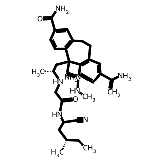 C=C(N)c1ccc2c(c1)CCc1cc(C(N)=O)ccc1C2(C[C@@H](C)NCC(=O)NC(C#N)C[C@@H](C)CC)/C(N)=N/NC